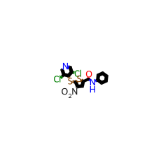 O=C(Nc1ccccc1)c1cc([N+](=O)[O-])c(Sc2c(Cl)cncc2Cl)s1